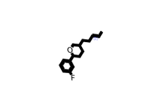 C/C=C/CCC1CCC(c2cccc(F)c2)OC1